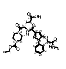 CCOC(=O)N1CCN(C(=O)[C@H](CCC(=O)O)NC(=O)c2cc(OCC(=O)NC)n(-c3ccccc3)n2)CC1